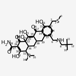 CSCc1cc(CNCC(C)(C)C)c2c(c1O)C(=O)C1=C(O)C3(O)C(=O)C(C(N)=O)=C(O)C(N(C)C)C3CC1C2